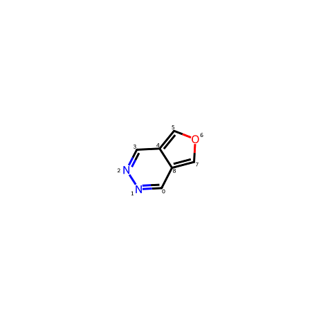 c1nncc2cocc12